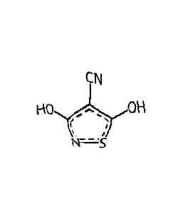 N#Cc1c(O)nsc1O